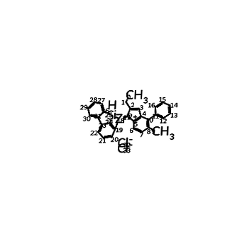 CCC1=Cc2c(ccc(C)c2-c2ccccc2)[CH]1[Zr+2]1[c]2cccc3c2[SiH]1c1ccccc1-3.[Cl-].[Cl-]